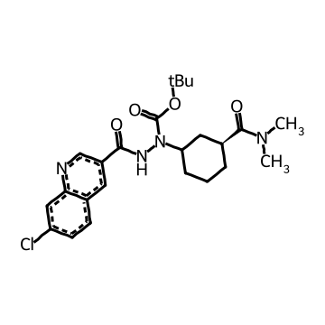 CN(C)C(=O)[C@H]1CCCC(N(NC(=O)c2cnc3cc(Cl)ccc3c2)C(=O)OC(C)(C)C)C1